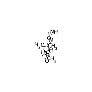 C=C1C[C@@H]2[C@@H](CC[C@]3(C)C(=O)CC[C@@H]23)[C@@]2(C)CC/C(=N/O[C@@H]3CCNC3)CC12